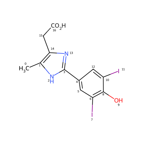 Cc1[nH]c(-c2cc(I)c(O)c(I)c2)nc1CC(=O)O